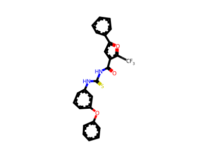 O=C(NC(=S)Nc1cccc(Oc2ccccc2)c1)c1cc(-c2ccccc2)oc1C(F)(F)F